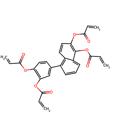 C=CC(=O)Oc1ccc(-c2cccc3c(OC(=O)C=C)c(OC(=O)C=C)ccc23)cc1OC(=O)C=C